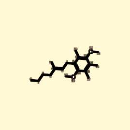 CCCC/C(C)=C/Cc1c(C)c(OC)c(C)c(C)c1OC